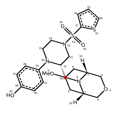 COC1C[C@H]2COC[C@@H](C1)N2C[C@H]1CN(S(=O)(=O)c2cccs2)CCN1c1ccc(O)cc1